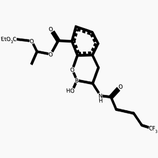 CCOC(=O)OC(C)OC(=O)c1cccc2c1OB(O)C(NC(=O)CCCC(F)(F)F)C2